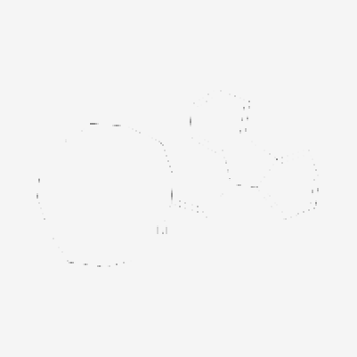 c1ccc2c(c1)-c1ccccc1C2/N=C1\CCCCCCCCCCCN1